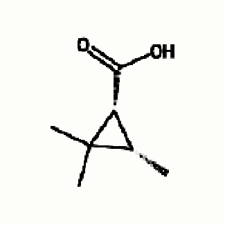 C[C@H]1[C@@H](C(=O)O)C1(C)C